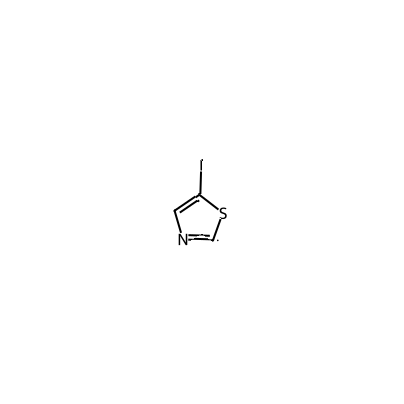 Ic1cn[c]s1